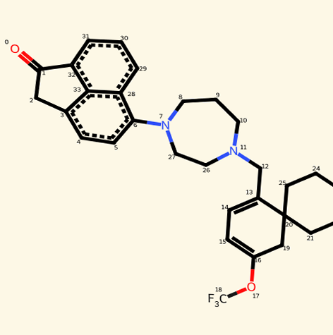 O=C1Cc2ccc(N3CCCN(CC4=CC=C(OC(F)(F)F)CC45CCCCC5)CC3)c3cccc1c23